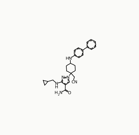 N#CCC1(n2cc(C(N)=O)c(NCC3CC3)n2)CCC(Nc2ccc(-c3ccccc3)cc2)CC1